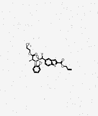 C=CCOC(=O)c1cc2cc(C(F)P(=O)(N[C@@H](C)C(=O)OCCC(F)(F)F)Oc3ccccc3)ccc2s1